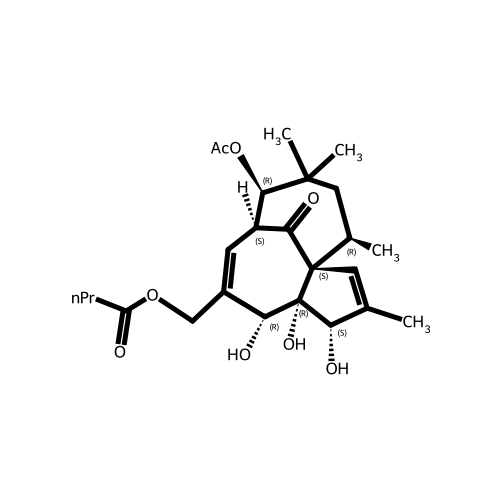 CCCC(=O)OCC1=C[C@@H]2C(=O)[C@]3(C=C(C)[C@H](O)[C@@]3(O)[C@@H]1O)[C@H](C)CC(C)(C)[C@@H]2OC(C)=O